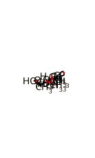 CC(Br)C(C)(CC(C)(C)C(C)(C)C(=O)OC1CCCCC1)C(=O)OCC[N+](C)(C)CC(=O)O